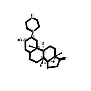 C[C@]12C[C@H](N3CCNCC3)[C@@H](O)CC1CC[C@@H]1[C@@H]2CC[C@]2(C)C(=O)CC[C@@H]12